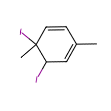 CC1=CC(I)C(C)(I)C=C1